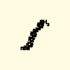 CCCCC1C=CC(c2ccc(-c3ccc(OCCCc4ccc(C)cc4)cc3)cc2)CC1